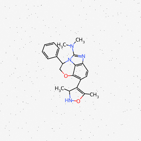 CC1=C(c2ccc3nc(N(C)C)n4c3c2OCC4c2ccccc2)C(C)NO1